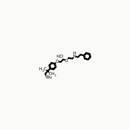 CC(C)(C)CC(C)(C)c1ccc(OCCOCCNCCc2ccccc2)cc1.Cl